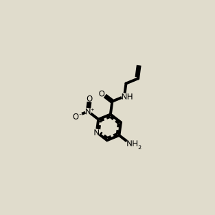 C=CCNC(=O)c1cc(N)cnc1[N+](=O)[O-]